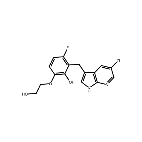 OCCOc1ccc(F)c(Cc2c[nH]c3ncc(Cl)cc23)c1O